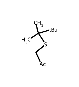 CC(=O)CSC(C)(C)C(C)(C)C